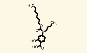 CCCCCCCOC(=O)N(CCCC)c1ccc(C(=O)O)c(O)c1